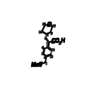 CSCc1ccc(C(CC2CCOCC2)C(=O)O)cc1